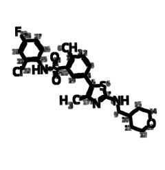 Cc1ccc(-c2sc(NCC3CCOCC3)nc2C)cc1S(=O)(=O)Nc1ccc(F)cc1Cl